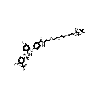 CC(C)(C)OC(=O)NCCOCCOCCOCCNC(=O)c1ccc(Oc2cc(Cl)ccc2NS(=O)(=O)c2ccc(Cl)c(C(F)(F)F)c2)cc1